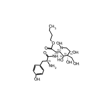 CCCCOC(=O)[C@@H](NC(=O)[C@@H](N)Cc1ccc(O)cc1)[C@H]1[C@H](O)[C@](O)(CO)[C@@H](O)CN1O